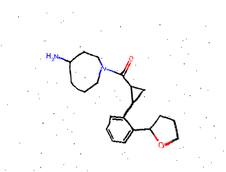 NC1CCCN(C(=O)C2CC2c2ccccc2C2CCCO2)CC1